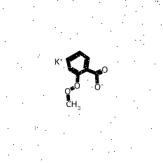 COOc1ccccc1C(=O)[O-].[K+]